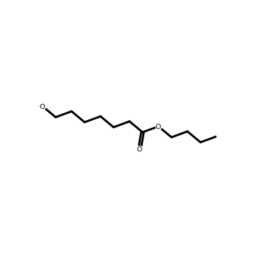 CCCCOC(=O)CCCCCC[O]